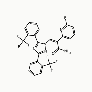 NC(=O)C(=Cn1nc(-c2ccccc2C(F)(F)F)nc1-c1ccccc1C(F)(F)F)c1cccc(F)n1